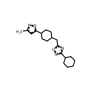 Cc1cc(C2CCC(Cc3nc(C4CCCCC4)no3)CC2)on1